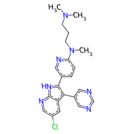 CN(C)CCCN(C)c1ccc(-c2[nH]c3ncc(Cl)cc3c2-c2cncnc2)cn1